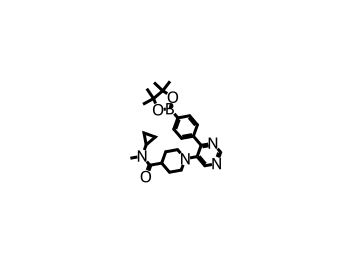 CN(C(=O)C1CCN(c2cncnc2-c2ccc(B3OC(C)(C)C(C)(C)O3)cc2)CC1)C1CC1